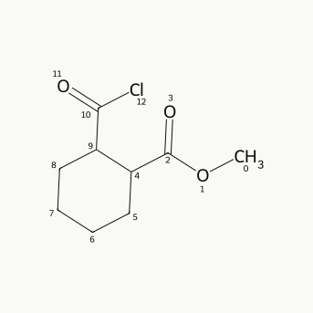 COC(=O)C1CCCCC1C(=O)Cl